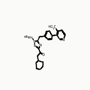 CCCCCn1nc(C(=O)CC2CCCCC2)nc1Cc1ccc(-c2cnccc2C(=O)O)cc1